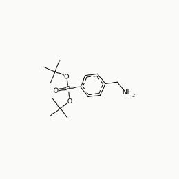 CC(C)(C)OP(=O)(OC(C)(C)C)c1ccc(CN)cc1